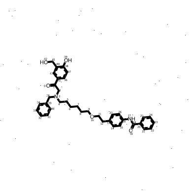 O=C(CN(CCCCCCOCCc1ccc(NC(=O)c2ccccc2)cc1)Cc1ccccc1)c1ccc(O)c(CO)c1